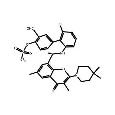 Cc1cc([C@@H](C)Nc2cccc(Cl)c2-c2ccc(OS(=O)(=O)C(F)(F)F)c(C=O)c2)c2oc(N3CCC(C)(C)CC3)c(C)c(=O)c2c1